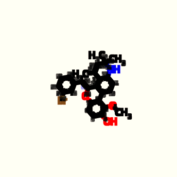 COc1c(O)ccc2c1-c1ccc3c(c1/C(=C/c1cccc(Br)c1)O2)C(C)=CC(C)(C)N3